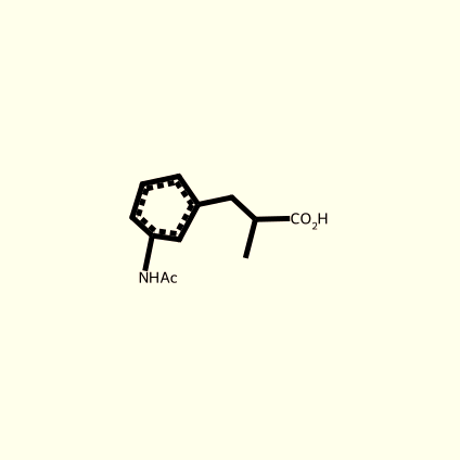 CC(=O)Nc1cccc(CC(C)C(=O)O)c1